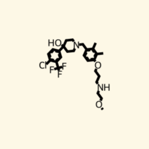 COCCNCCCOc1ccc(CN2CCC(O)(c3ccc(Cl)c(C(F)(F)F)c3)CC2)c(C)c1C